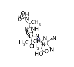 CC(CN[SH](=O)=O)c1nn2nc(C(C)(C)C)c(/N=N/c3nc(C#N)c(C#N)n3CC(=O)O)c2[nH]1